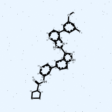 COc1cc(F)cc(-c2ccnc3[nH]c(-c4n[nH]c5ccc(-c6cncc(NC(=O)C7CCCC7)c6)cc45)nc23)c1